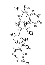 O=C(NS(=O)(=O)c1cccc(Cl)c1)c1ncn(-c2ccccc2C(F)(F)F)c1Cl